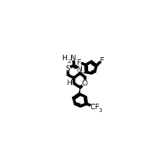 NC1=N[C@@]2(c3ccc(F)cc3F)CO[C@@H](c3cccc(C(F)(F)F)c3)C[C@H]2CS1